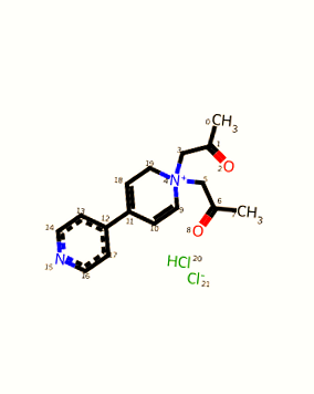 CC(=O)C[N+]1(CC(C)=O)C=CC(c2ccncc2)=CC1.Cl.[Cl-]